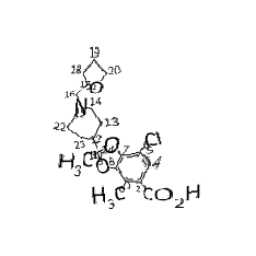 Cc1c(C(=O)O)cc(Cl)c2c1OC(C)(C1CCN(CC3CCCO3)CC1)O2